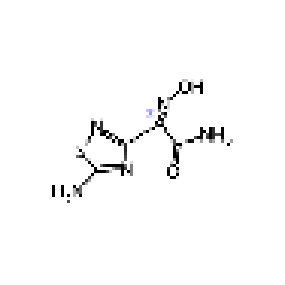 NC(=O)/C(=N\O)c1nsc(N)n1